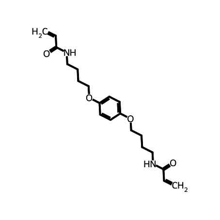 C=CC(=O)NCCCCOc1ccc(OCCCCNC(=O)C=C)cc1